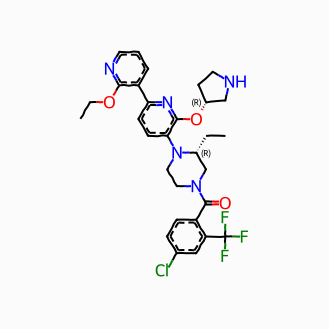 CCOc1ncccc1-c1ccc(N2CCN(C(=O)c3ccc(Cl)cc3C(F)(F)F)C[C@H]2CC)c(O[C@@H]2CCNC2)n1